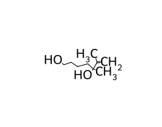 C=C(C)C(C)(O)CCCCO